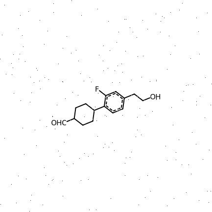 O=CC1CCC(c2ccc(CCO)cc2F)CC1